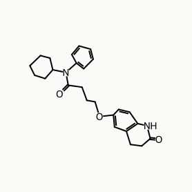 O=C1CCc2cc(OCCCC(=O)N(c3ccccc3)C3CCCCC3)ccc2N1